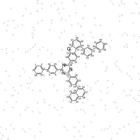 c1ccc(-c2ccc(-c3nc(-c4ccc(-c5cccc6ccccc56)cc4)nc(-c4ccc5c(c4)oc4cccc(-c6cccc(-c7ccccc7)c6)c45)n3)cc2)cc1